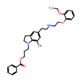 N#Cc1cc(CCNCCOc2ccccc2OCC(F)(F)F)cc2c1N(CCCOC(=O)c1ccccc1)CC2